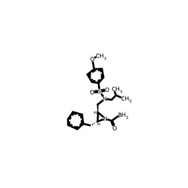 BC(=O)N1[C@H](Cc2ccccc2)[C@H]1CN(CC(C)C)S(=O)(=O)c1ccc(OC)cc1